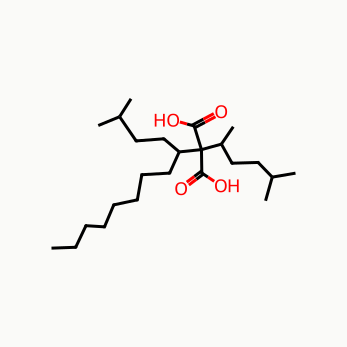 CCCCCCCCC(CCC(C)C)C(C(=O)O)(C(=O)O)C(C)CCC(C)C